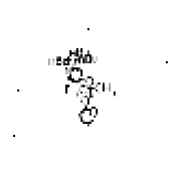 CCC[CH2][Sn]([CH2]CCC)([CH2]CCC)[c]1cc(OC(C)(C)COC2CCCCO2)ccn1